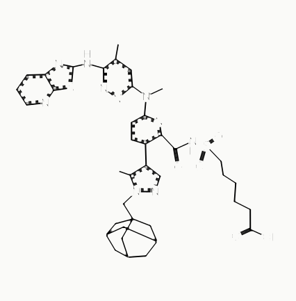 Cc1cc(N(C)c2ccc(-c3cnn(CC45CC6CC(CC(C6)C4)C5)c3C)c(C(=O)NS(=O)(=O)CCCCCC(=O)O)n2)nnc1Nc1nc2cccnc2s1